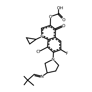 CC(C)(C)C=NC1CCN(c2c(F)cc3c(=O)c(OC(=O)O)cn(C4CC4)c3c2Cl)C1